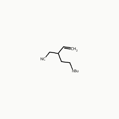 C=CC(CC#N)CCCCCC